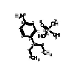 CCN(CC)c1ccc(N)cc1.O=P(O)(O)O